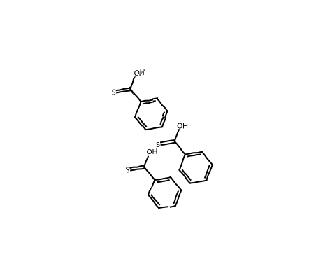 OC(=S)c1ccccc1.OC(=S)c1ccccc1.OC(=S)c1ccccc1